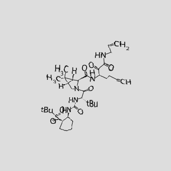 C#CCCC(NC(=O)[C@@H]1[C@@H]2[C@H](CN1C(=O)[C@@H](NC(=O)N[C@H]1CCCC[C@H]1S(=O)(=O)C(C)(C)C)C(C)(C)C)C2(C)C)C(=O)C(=O)NCC=C